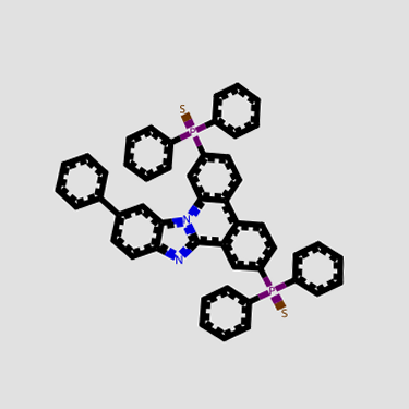 S=P(c1ccccc1)(c1ccccc1)c1ccc2c3ccc(P(=S)(c4ccccc4)c4ccccc4)cc3n3c4cc(-c5ccccc5)ccc4nc3c2c1